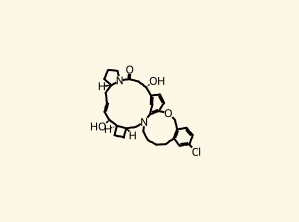 O=C1C[C@H](O)c2ccc3c(c2)N(CCCCc2cc(Cl)ccc2CO3)C[C@@H]2CC[C@H]2[C@@H](O)/C=C/C[C@@H]2CCCN12